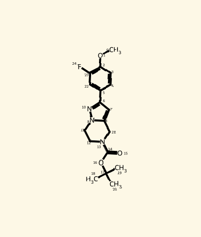 COc1ccc(-c2cc3n(n2)CCN(C(=O)OC(C)(C)C)C3)cc1F